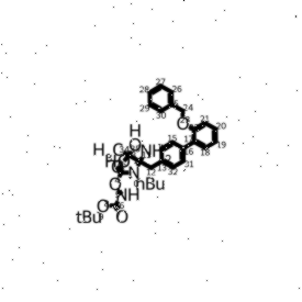 CCCCN(C(=O)ONC(=O)OC(C)(C)C)C(N)(Cc1ccc(-c2ccccc2OCc2ccccc2)cc1)C(C)(O)O